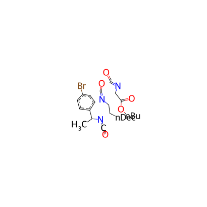 CC(N=C=O)c1ccc(Br)cc1.CCCCCCCCCCCCN=C=O.CCCCOC(=O)CN=C=O